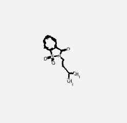 CC(C)CCN1C(=O)c2ccccc2S1(=O)=O